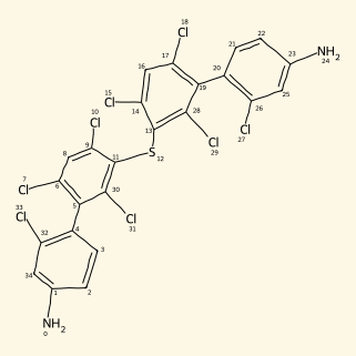 Nc1ccc(-c2c(Cl)cc(Cl)c(Sc3c(Cl)cc(Cl)c(-c4ccc(N)cc4Cl)c3Cl)c2Cl)c(Cl)c1